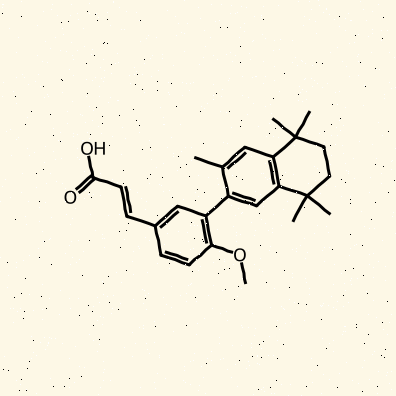 COc1ccc(C=CC(=O)O)cc1-c1cc2c(cc1C)C(C)(C)CCC2(C)C